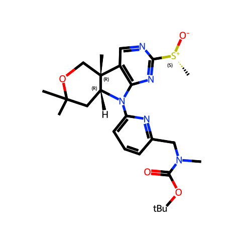 CN(Cc1cccc(N2c3nc([S@@+](C)[O-])ncc3[C@@]3(C)COC(C)(C)C[C@@H]23)n1)C(=O)OC(C)(C)C